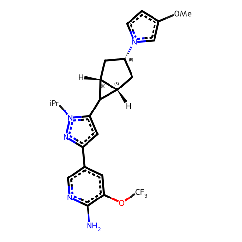 COc1ccn([C@@H]2C[C@@H]3C(c4cc(-c5cnc(N)c(OC(F)(F)F)c5)nn4C(C)C)[C@@H]3C2)c1